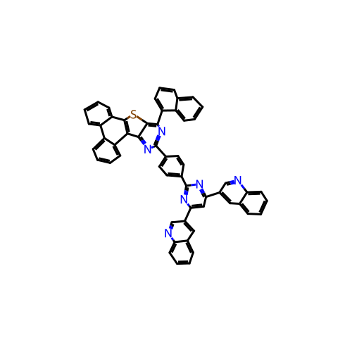 c1ccc2ncc(-c3cc(-c4cnc5ccccc5c4)nc(-c4ccc(-c5nc(-c6cccc7ccccc67)c6sc7c8ccccc8c8ccccc8c7c6n5)cc4)n3)cc2c1